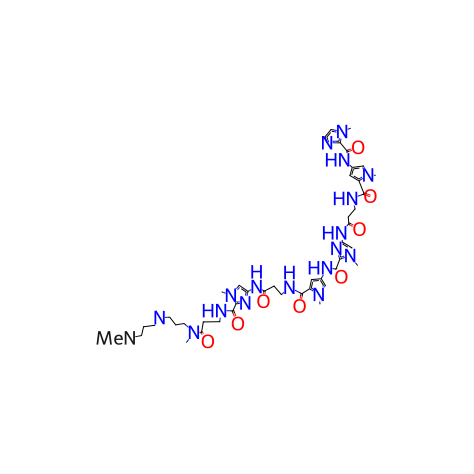 CNCCCN(C)CCCN(C)C(=O)CCNC(=O)c1nc(NC(=O)CCNC(=O)c2cc(NC(=O)c3nc(NC(=O)CCNC(=O)c4cc(NC(=O)c5nccn5C)cn4C)cn3C)cn2C)cn1C